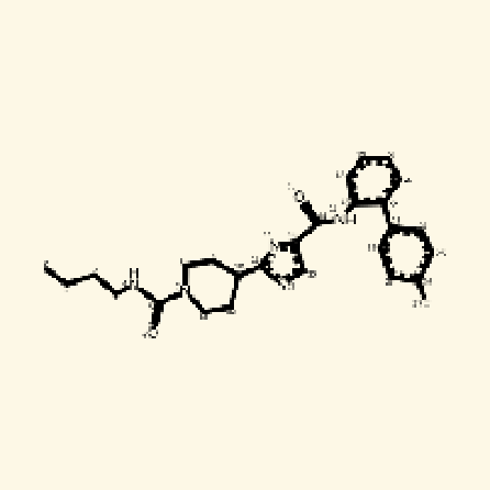 CCCCNC(=O)N1CCC(c2nc(C(=O)Nc3ccccc3-c3ccc(F)cc3)cs2)CC1